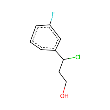 OCCC(Cl)c1cccc(F)c1